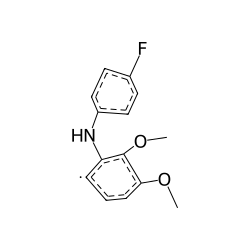 COc1cc[c]c(Nc2ccc(F)cc2)c1OC